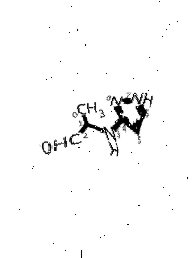 CC([C]=O)Nc1cc[nH]n1